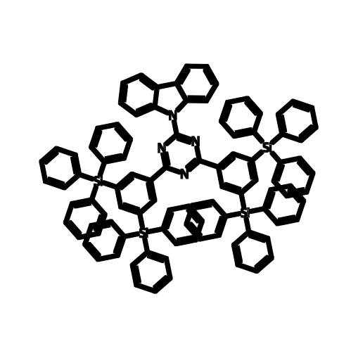 c1ccc([Si](c2ccccc2)(c2ccccc2)c2cc(-c3nc(-c4cc([Si](c5ccccc5)(c5ccccc5)c5ccccc5)cc([Si](c5ccccc5)(c5ccccc5)c5ccccc5)c4)nc(-n4c5ccccc5c5ccccc54)n3)cc([Si](c3ccccc3)(c3ccccc3)c3ccccc3)c2)cc1